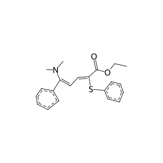 CCOC(=O)C(=CC=C(c1ccccc1)N(C)C)Sc1ccccc1